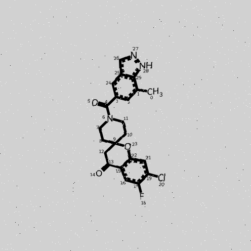 Cc1cc(C(=O)N2CCC3(CC2)CC(=O)c2cc(F)c(Cl)cc2O3)cc2cn[nH]c12